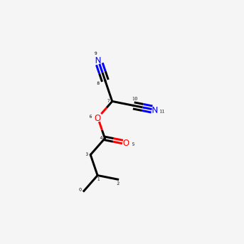 CC(C)CC(=O)OC(C#N)C#N